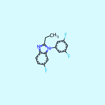 CCc1nc2ccc(F)cc2n1-c1cc(F)cc(F)c1